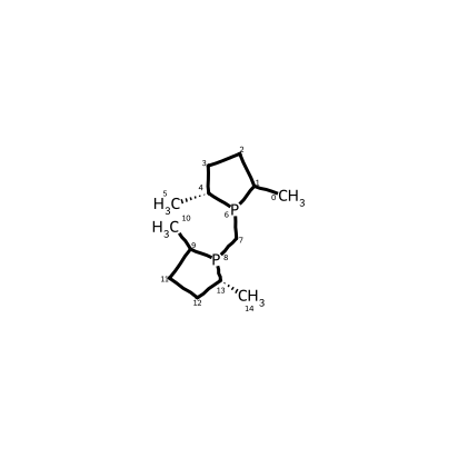 CC1CC[C@@H](C)P1CP1C(C)CC[C@H]1C